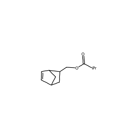 CC(C)C(=O)OCC1CC2C=CC1C2